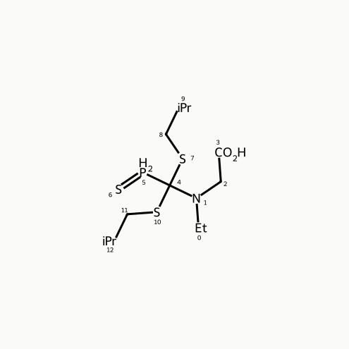 CCN(CC(=O)O)C([PH2]=S)(SCC(C)C)SCC(C)C